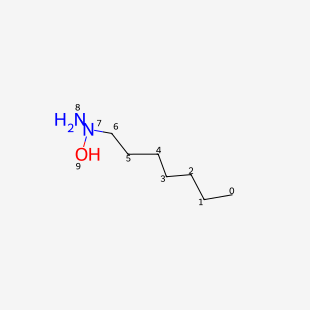 CCCCCCCN(N)O